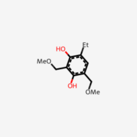 CCc1cc(COC)c(O)c(COC)c1O